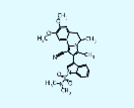 COc1cc2c(cc1OC)-c1c(C#N)c(-c3cn(S(=O)(=O)N(C)C)c4ccccc34)c(C)n1C(C)C2